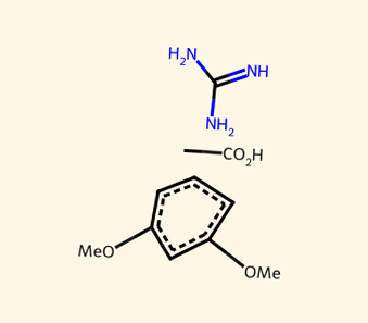 CC(=O)O.COc1cccc(OC)c1.N=C(N)N